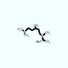 CC(CCN(C)C)CCN(C)[C@H](C)C(C)(C)C